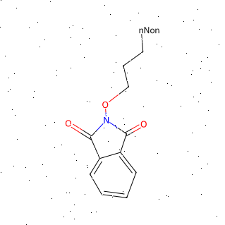 CCCCCCCCCCCCON1C(=O)c2ccccc2C1=O